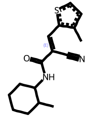 Cc1ccsc1/C=C(\C#N)C(=O)NC1CCCCC1C